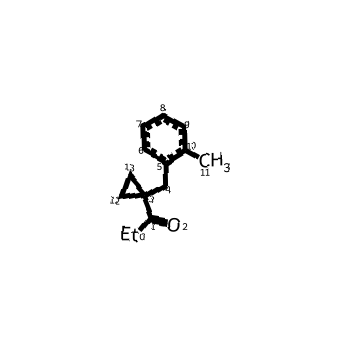 CCC(=O)C1(Cc2ccccc2C)CC1